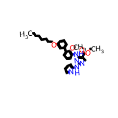 CCCCCCCCOc1cccc(-c2cccc(Nc3nc(Nc4ccccn4)ncc3C(=O)OCC)c2OC)c1